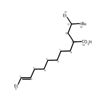 CCC=CCCCCCCC(CC(CC)CCCC)C(=O)O